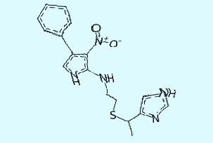 CC(SCCNc1[nH]cc(-c2ccccc2)c1[N+](=O)[O-])c1c[nH]cn1